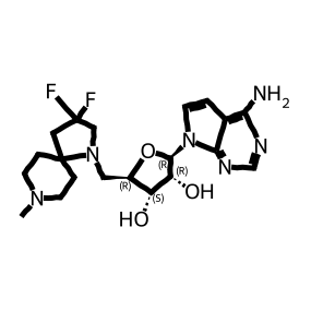 CN1CCC2(CC1)CC(F)(F)CN2C[C@H]1O[C@@H](n2ccc3c(N)ncnc32)[C@H](O)[C@@H]1O